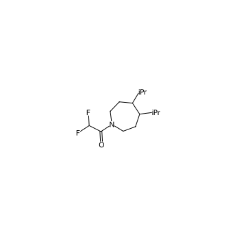 CC(C)C1CCN(C(=O)C(F)F)CCC1C(C)C